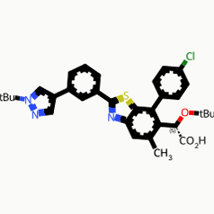 Cc1cc2nc(-c3cccc(-c4cnn(C(C)(C)C)c4)c3)sc2c(-c2ccc(Cl)cc2)c1[C@H](OC(C)(C)C)C(=O)O